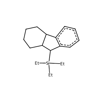 CC[Si](CC)(CC)C1c2ccccc2C2CCCCC21